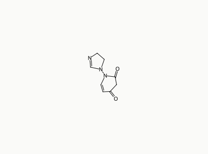 O=C1C=CN(N2C=NCC2)C(=O)C1